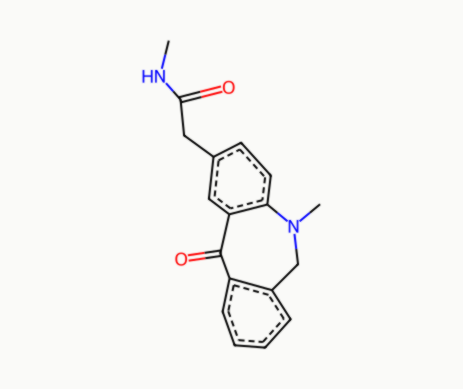 CNC(=O)Cc1ccc2c(c1)C(=O)c1ccccc1CN2C